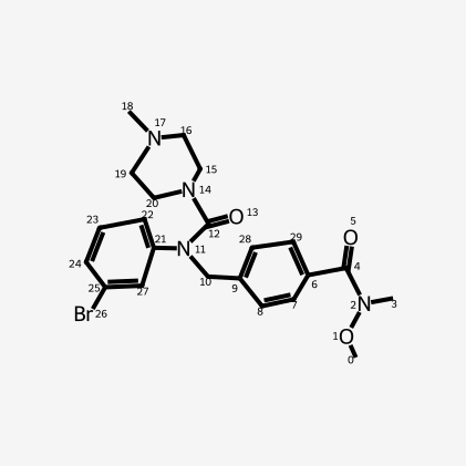 CON(C)C(=O)c1ccc(CN(C(=O)N2CCN(C)CC2)c2cccc(Br)c2)cc1